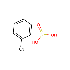 N#Cc1ccccc1.O=S(O)O